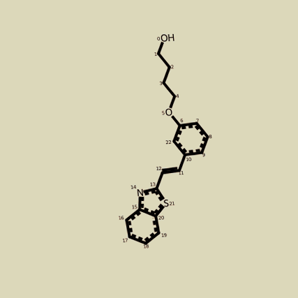 OCCCCOc1cccc(C=Cc2nc3ccccc3s2)c1